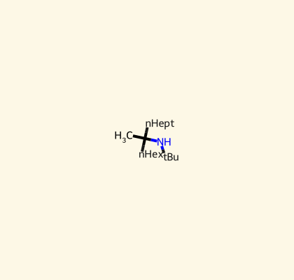 CCCCCCCC(C)(CCCCCC)NC(C)(C)C